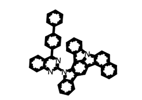 c1ccc(-c2ccc(-c3nc(-n4c5ccccc5c5cc6c7c8ccccc8ccc7n7c8ccccc8c(c54)c67)nc4ccccc34)cc2)cc1